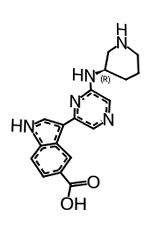 O=C(O)c1ccc2[nH]cc(-c3cncc(N[C@@H]4CCCNC4)n3)c2c1